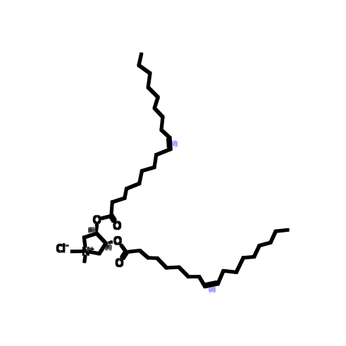 CCCCCCCC/C=C\CCCCCCCC(=O)O[C@@H]1C[N+](C)(C)C[C@H]1OC(=O)CCCCCCC/C=C\CCCCCCCC.[Cl-]